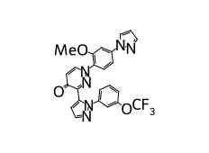 COc1cc(-n2cccn2)ccc1-n1ccc(=O)c(-c2ccnn2-c2cccc(OC(F)(F)F)c2)n1